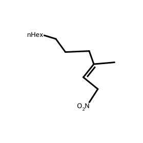 CCCCCCCCCC(C)=CC[N+](=O)[O-]